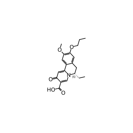 CCCOc1cc2c(cc1OC)-c1cc(=O)c(C(=O)O)cn1[C@@H](CC)C2